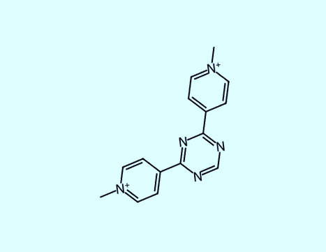 C[n+]1ccc(-c2ncnc(-c3cc[n+](C)cc3)n2)cc1